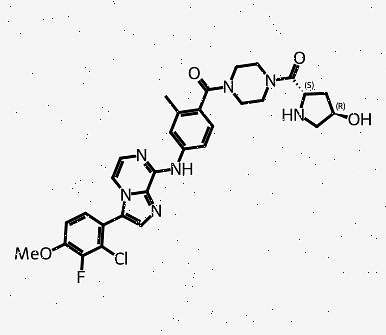 COc1ccc(-c2cnc3c(Nc4ccc(C(=O)N5CCN(C(=O)[C@@H]6C[C@@H](O)CN6)CC5)c(C)c4)nccn23)c(Cl)c1F